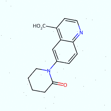 O=C(O)c1ccnc2ccc(N3CCCCC3=O)cc12